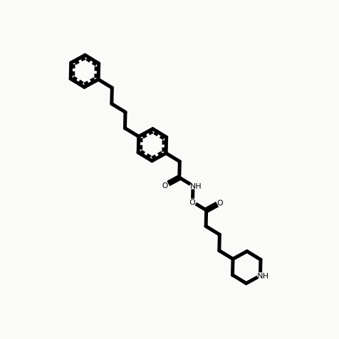 O=C(Cc1ccc(CCCCc2ccccc2)cc1)NOC(=O)CCCC1CCNCC1